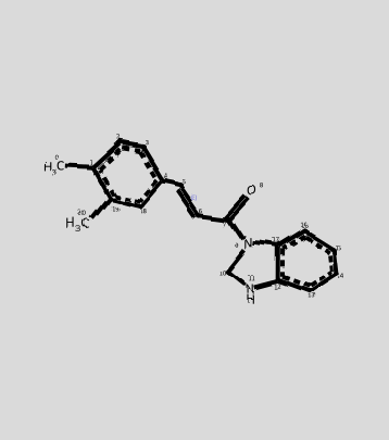 Cc1ccc(/C=C/C(=O)N2CNc3ccccc32)cc1C